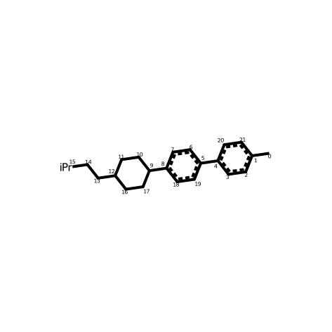 Cc1ccc(-c2ccc(C3CCC(CCC(C)C)CC3)cc2)cc1